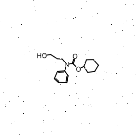 O=C(OC1CCCCC1)N(CCCO)c1ccccc1